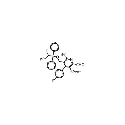 CCCCCc1c(C=O)nc(C(C)C)c(CO[Si](c2ccccc2)(c2ccccc2)C(F)CCC)c1-c1ccc(F)cc1